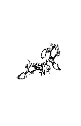 N=C(NC(=O)c1c(Cl)cncc1Cl)c1ccnc(Cl)c1